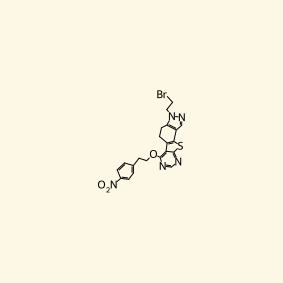 O=[N+]([O-])c1ccc(CCOc2ncnc3sc4c(c23)CCc2c-4cnn2CCBr)cc1